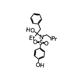 [CH2]CC(O)(Cc1ccccc1)N(CC(C)C)S(=O)(=O)c1ccc(O)cc1